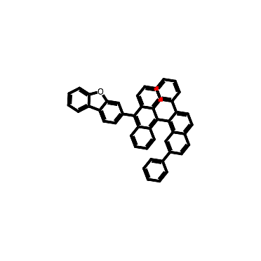 c1ccc(-c2ccc3ccc(-c4ccccc4)c(-c4c5ccccc5c(-c5ccc6c(c5)oc5ccccc56)c5ccccc45)c3c2)cc1